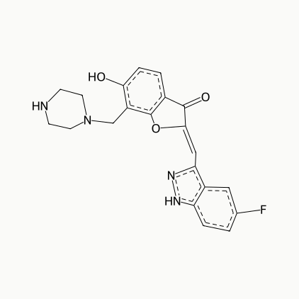 O=C1C(=Cc2n[nH]c3ccc(F)cc23)Oc2c1ccc(O)c2CN1CCNCC1